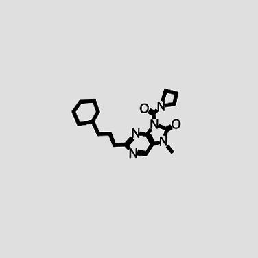 Cn1c(=O)n(C(=O)N2CCC2)c2nc(CCCC3CCCCC3)ncc21